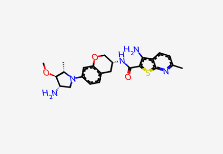 CO[C@@H]1[C@@H](N)CN(c2ccc3c(c2)OC[C@H](NC(=O)c2sc4nc(C)ccc4c2N)C3)[C@H]1C